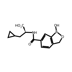 O=C(N[C@@H](CC1CC1)C(=O)O)c1ccc2c(c1)B(O)OC2